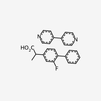 CC(C(=O)O)c1ccc(-c2ccccc2)c(F)c1.c1cc(-c2ccncc2)ccn1